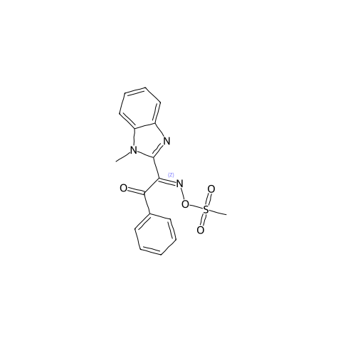 Cn1c(/C(=N/OS(C)(=O)=O)C(=O)c2ccccc2)nc2ccccc21